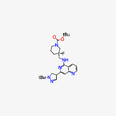 CC(C)(C)OC(=O)N1CCC[C@@](F)(CNc2nc(C3C=NN(C(C)(C)C)C3)cc3ncccc23)C1